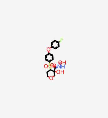 O=C(NO)C1(O)COCCC1S(=O)(=O)c1ccc(Oc2ccc(F)cc2)cc1